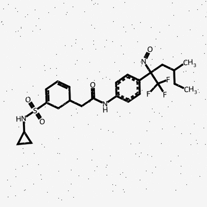 CCC(C)CC(N=O)(c1ccc(NC(=O)CC2C=CC=C(S(=O)(=O)NC3CC3)C2)cc1)C(F)(F)F